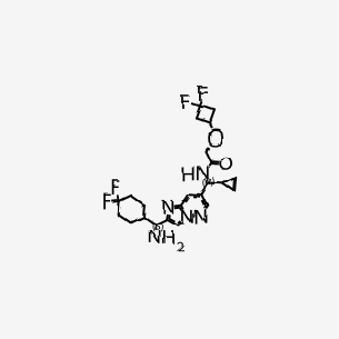 N[C@H](c1cn2ncc([C@H](NC(=O)COC3CC(F)(F)C3)C3CC3)cc2n1)C1CCC(F)(F)CC1